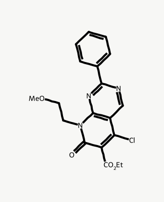 CCOC(=O)c1c(Cl)c2cnc(-c3ccccc3)nc2n(CCOC)c1=O